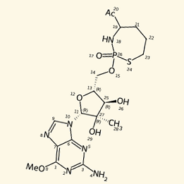 COc1nc(N)nc2c1ncn2[C@@H]1O[C@H](COP2(=O)NC(C(C)=O)CCCS2)[C@@H](O)[C@@]1(C)O